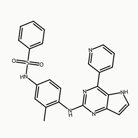 Cc1cc(NS(=O)(=O)c2ccccc2)ccc1Nc1nc(-c2cccnc2)c2[nH]ccc2n1